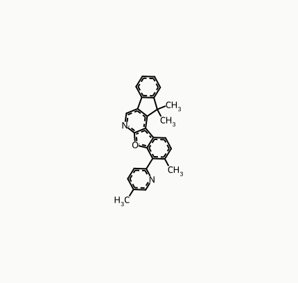 Cc1ccc(-c2c(C)ccc3c2oc2ncc4c(c23)C(C)(C)c2ccccc2-4)nc1